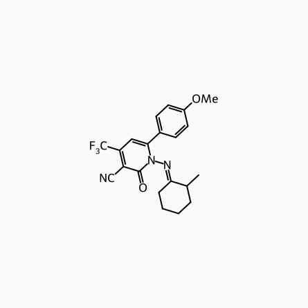 COc1ccc(-c2cc(C(F)(F)F)c(C#N)c(=O)n2N=C2CCCCC2C)cc1